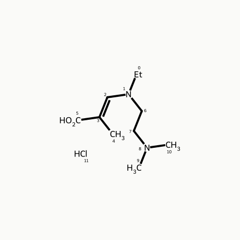 CCN(C=C(C)C(=O)O)CCN(C)C.Cl